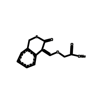 COC(=O)COC=C1C(=O)SCc2ccccc21